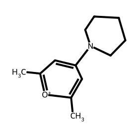 Cc1cc(N2CCCCC2)cc(C)[o+]1